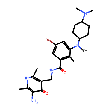 CCN(c1cc(Br)cc(C(=O)NCc2c(C)[nH]c(C)c(N)c2=O)c1C)C1CCC(N(C)C)CC1